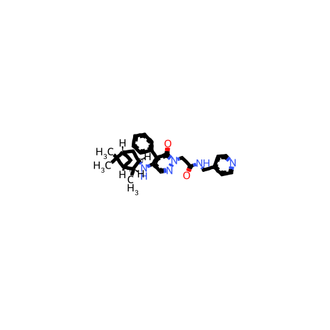 C[C@H]1[C@H]2C[C@H](C[C@H]1Nc1cnn(CC(=O)NCc3ccncc3)c(=O)c1-c1ccccc1)C2(C)C